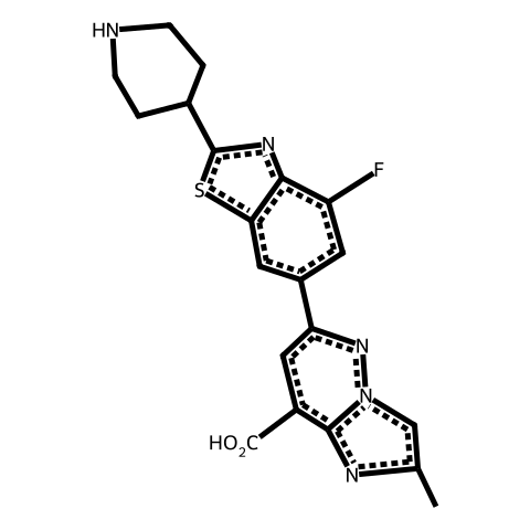 Cc1cn2nc(-c3cc(F)c4nc(C5CCNCC5)sc4c3)cc(C(=O)O)c2n1